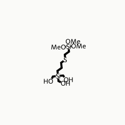 CO[Si](CCSCCC[Si](CO)(CO)CO)(OC)OC